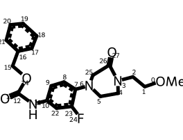 COCCN1CCN(c2ccc(NC(=O)OCc3ccccc3)cc2F)CC1=O